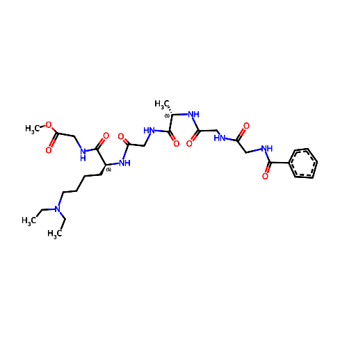 CCN(CC)CCCC[C@H](NC(=O)CNC(=O)[C@H](C)NC(=O)CNC(=O)CNC(=O)c1ccccc1)C(=O)NCC(=O)OC